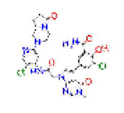 Cn1cnc2c(c(-c3cc(Cl)c(O)c(C(N)=O)c3)cn2CC(=O)Nc2cc(N3CCN4C(=O)CCC4C3)ncc2Cl)c1=O